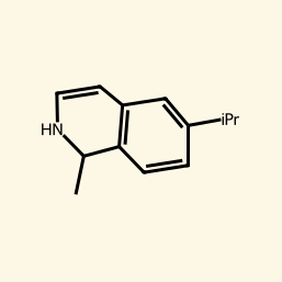 CC(C)c1ccc2c(c1)C=CNC2C